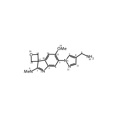 CNC1=Nc2cc(-n3cc(CN)cn3)c(OC)cc2C12COC2